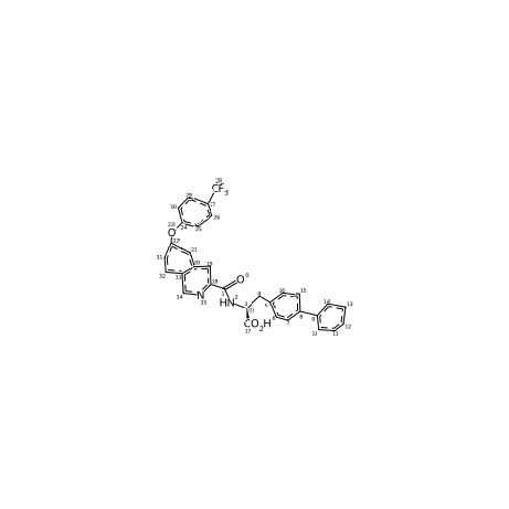 O=C(N[C@@H](Cc1ccc(-c2ccccc2)cc1)C(=O)O)c1cc2cc(Oc3ccc(C(F)(F)F)cc3)ccc2cn1